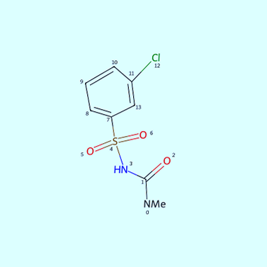 CNC(=O)NS(=O)(=O)c1cccc(Cl)c1